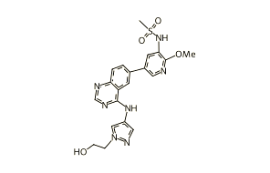 COc1ncc(-c2ccc3ncnc(Nc4cnn(CCO)c4)c3c2)cc1NS(C)(=O)=O